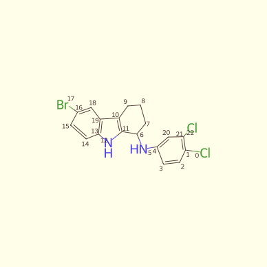 Clc1ccc(NC2CCCc3c2[nH]c2ccc(Br)cc32)cc1Cl